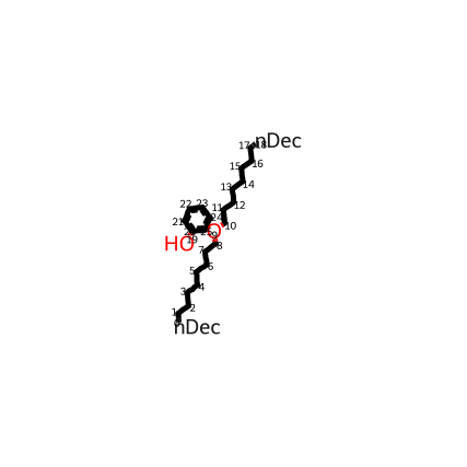 CCCCCCCCCCCCCCCCCCOCCCCCCCCCCCCCCCCCC.Oc1ccccc1